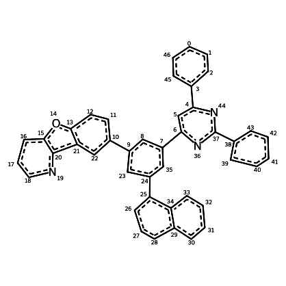 c1ccc(-c2cc(-c3cc(-c4ccc5oc6cccnc6c5c4)cc(-c4cccc5ccccc45)c3)nc(-c3ccccc3)n2)cc1